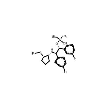 CC(C)S[C@@H]1CCC[C@H]1N[C@H](c1ccc(Cl)cc1)[C@H](O[Si](C)(C)C(C)(C)C)c1cccc(Cl)c1